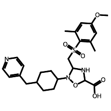 COc1cc(C)c(S(=O)(=O)CC2NC(C(=O)O)ON2C2CCC(Cc3ccncc3)CC2)c(C)c1